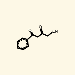 N#CCC(=O)CC(=O)c1ccccc1